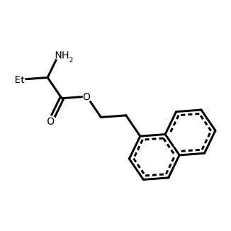 CCC(N)C(=O)OCCc1cccc2ccccc12